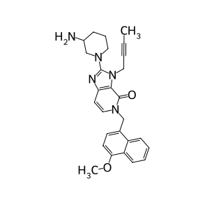 CC#CCn1c(N2CCCC(N)C2)nc2ccn(Cc3ccc(OC)c4ccccc34)c(=O)c21